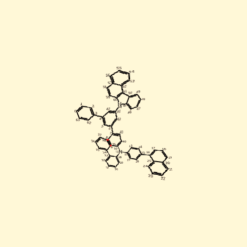 c1ccc(-c2cc(-c3ccc(N(c4ccc(-c5cccc6ccccc56)cc4)c4ccccc4-c4ccccc4)cc3)cc(-n3c4ccccc4c4c5ccccc5ccc43)c2)cc1